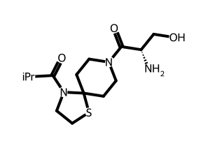 CC(C)C(=O)N1CCSC12CCN(C(=O)[C@@H](N)CO)CC2